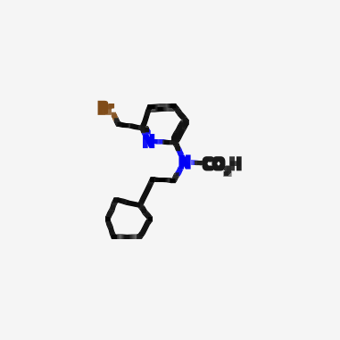 O=C(O)N(CCC1CCCCC1)c1cccc(CBr)n1